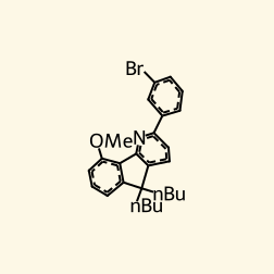 CCCCC1(CCCC)c2ccc(-c3cccc(Br)c3)nc2-c2c(OC)cccc21